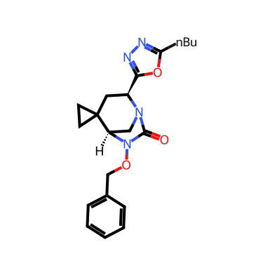 CCCCc1nnc([C@@H]2CC3(CC3)[C@H]3CN2C(=O)N3OCc2ccccc2)o1